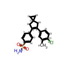 Cc1cc(C2=C(c3ccc(S(N)(=O)=O)cc3)CC3(CC3)C2)ccc1Cl